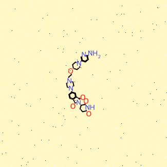 Nc1ccc(N2CCC(OCCN3CCN(c4ccc5c(c4)C(=O)N(C4CCC(=O)NC4=O)C5=O)CC3)CC2)cn1